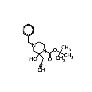 C#CC[C@]1(O)CN(Cc2ccccc2)CCN1C(=O)OC(C)(C)C